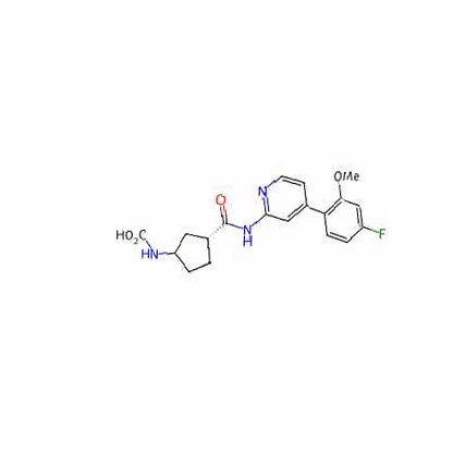 COc1cc(F)ccc1-c1ccnc(NC(=O)[C@@H]2CCC(NC(=O)O)C2)c1